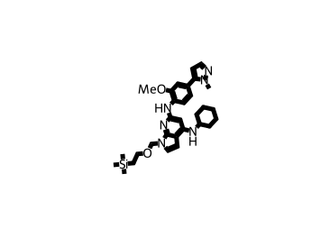 COc1cc(-c2ccnn2C)ccc1Nc1cc(NC2CCCCC2)c2ccn(COCC[Si](C)(C)C)c2n1